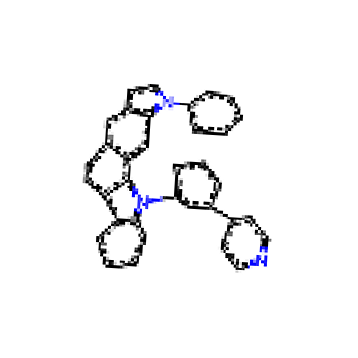 c1ccc(-n2ccc3cc4ccc5c6ccccc6n(-c6cccc(-c7ccncc7)c6)c5c4cc32)cc1